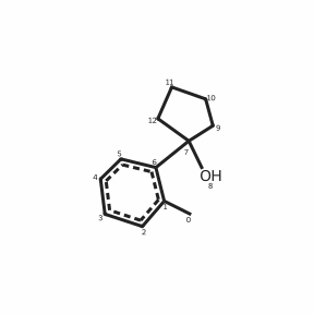 Cc1ccccc1C1(O)CCCC1